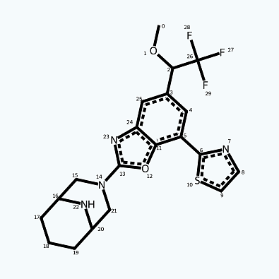 COC(c1cc(-c2nccs2)c2oc(N3CC4CCCC(C3)N4)nc2c1)C(F)(F)F